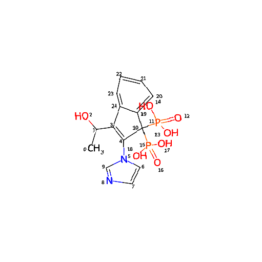 CC(O)C1=C(n2ccnc2)C(P(=O)(O)O)(P(=O)(O)O)c2ccccc21